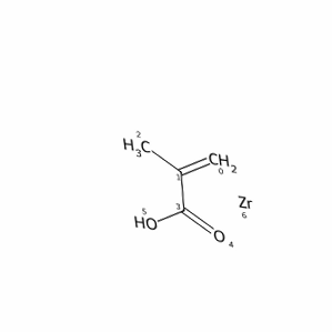 C=C(C)C(=O)O.[Zr]